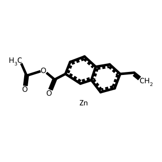 C=Cc1ccc2cc(C(=O)OC(C)=O)ccc2c1.[Zn]